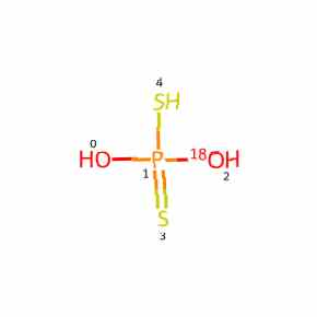 OP([18OH])(=S)S